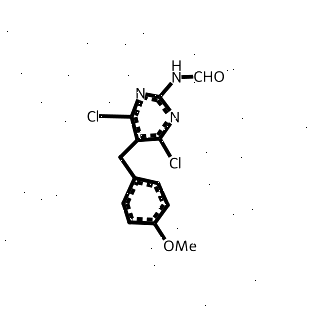 COc1ccc(Cc2c(Cl)nc(NC=O)nc2Cl)cc1